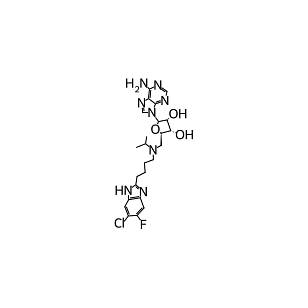 CC(C)N(CCCCc1nc2cc(F)c(Cl)cc2[nH]1)C[C@H]1OC(n2cnc3c(N)ncnc32)[C@H](O)[C@@H]1O